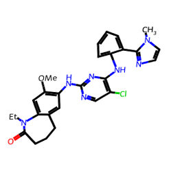 CCN1C(=O)CCCc2cc(Nc3ncc(Cl)c(Nc4ccccc4-c4nccn4C)n3)c(OC)cc21